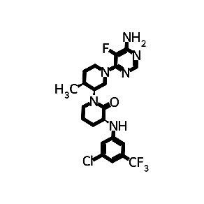 C[C@H]1CCN(c2ncnc(N)c2F)C[C@@H]1N1CCC[C@@H](Nc2cc(Cl)cc(C(F)(F)F)c2)C1=O